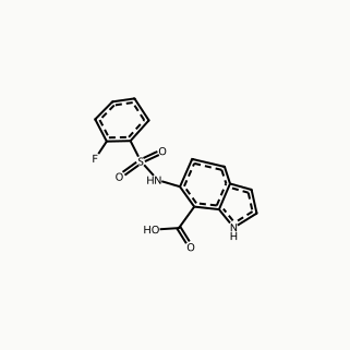 O=C(O)c1c(NS(=O)(=O)c2ccccc2F)ccc2cc[nH]c12